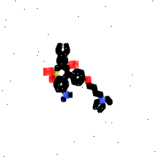 CCCCC1(CCCC)CS([O-])(O)c2ccc(N(C)C)cc2C(c2ccc(OCCCC[N+](CC)(CC)CC)cc2)C1O